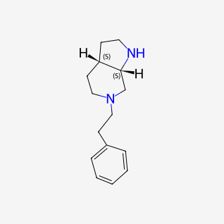 c1ccc(CCN2CC[C@@H]3CCN[C@@H]3C2)cc1